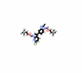 Cc1nc2cc(-c3cn(COCC[Si](C)(C)C)c4nc(Cl)ccc34)ccc2n1COCC[Si](C)(C)C